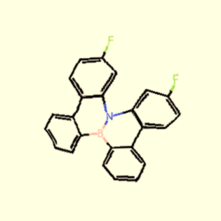 Fc1ccc2c(c1)N1B(c3ccccc3-2)c2ccccc2-c2ccc(F)cc21